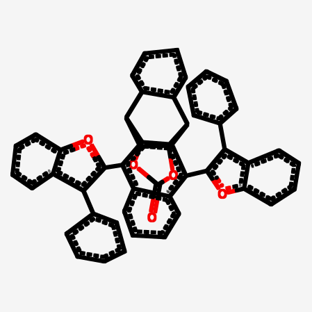 O=C1OC2C3c4ccccc4C(c4c3c(-c3oc5ccccc5c3-c3ccccc3)c3ccccc3c4-c3oc4ccccc4c3-c3ccccc3)C2O1